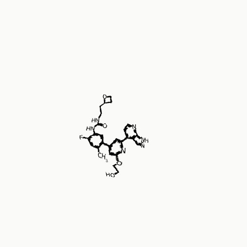 Cc1cc(F)c(NC(=O)NCC[C@@H]2CCO2)cc1-c1cc(OCCO)nc(-c2ccnc3[nH]ncc23)c1